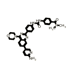 CN(C)C(=O)c1ccc(NC(=O)Nc2ccc(-c3nc(N4CCOCC4)c4ccc(-c5ccc(N)nc5)cc4n3)cc2)cc1